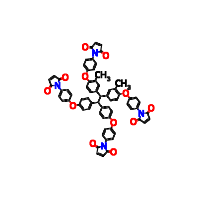 Cc1cc(C(c2ccc(Oc3ccc(N4C(=O)C=CC4=O)cc3)c(C)c2)C(c2ccc(Oc3ccc(N4C(=O)C=CC4=O)cc3)cc2)c2ccc(Oc3ccc(N4C(=O)C=CC4=O)cc3)cc2)ccc1Oc1ccc(N2C(=O)C=CC2=O)cc1